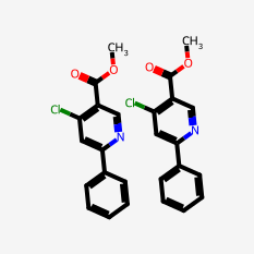 COC(=O)c1cnc(-c2ccccc2)cc1Cl.COC(=O)c1cnc(-c2ccccc2)cc1Cl